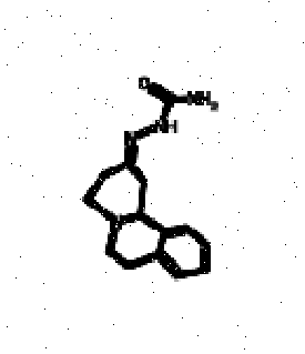 NC(=O)NN=C1CCN2CCc3ccccc3C2C1